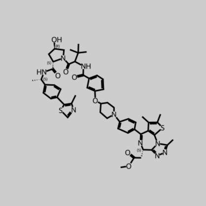 COC(=O)C[C@@H]1N=C(c2ccc(N3CCC(Oc4cccc(C(=O)NC(C(=O)N5C[C@H](O)C[C@H]5C(=O)N[C@@H](C)c5ccc(-c6scnc6C)cc5)C(C)(C)C)c4)CC3)cc2)c2c(sc(C)c2C)-n2c(C)nnc21